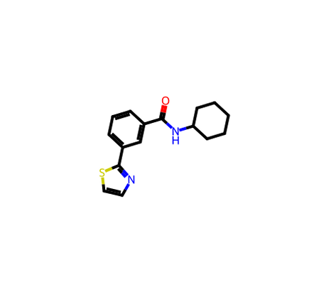 O=C(NC1CCCCC1)c1cccc(-c2nccs2)c1